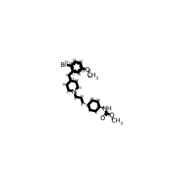 COC(=O)N[C@H]1CC[C@H](CCCN2CCC(Cc3cc(OC)ccc3Br)CC2)CC1